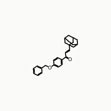 O=C(C=CC12CC3CC(CC(C3)C1)C2)c1ccc(OCc2ccccc2)cc1